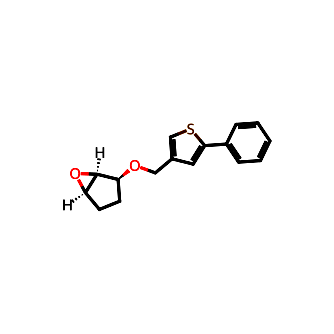 c1ccc(-c2cc(CO[C@H]3CC[C@H]4O[C@@H]34)cs2)cc1